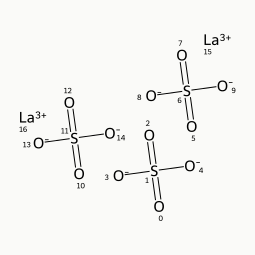 O=S(=O)([O-])[O-].O=S(=O)([O-])[O-].O=S(=O)([O-])[O-].[La+3].[La+3]